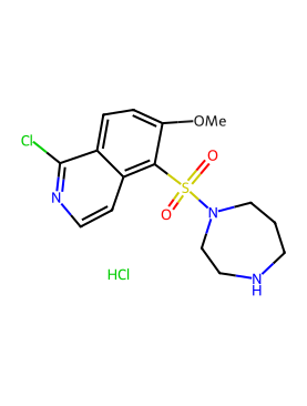 COc1ccc2c(Cl)nccc2c1S(=O)(=O)N1CCCNCC1.Cl